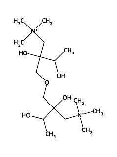 CC(O)C(O)(COCC(O)(C[N+](C)(C)C)C(C)O)C[N+](C)(C)C